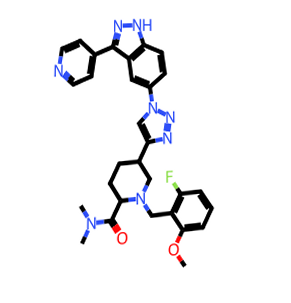 COc1cccc(F)c1CN1CC(c2cn(-c3ccc4[nH]nc(-c5ccncc5)c4c3)nn2)CCC1C(=O)N(C)C